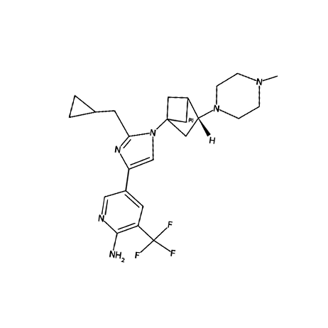 CN1CCN([C@@H]2CC3(n4cc(-c5cnc(N)c(C(F)(F)F)c5)nc4CC4CC4)CC2C3)CC1